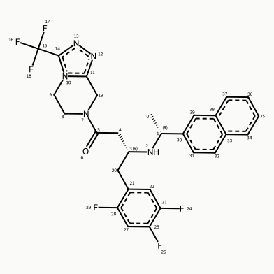 C[C@@H](N[C@@H](CC(=O)N1CCn2c(nnc2C(F)(F)F)C1)Cc1cc(F)c(F)cc1F)c1ccc2ccccc2c1